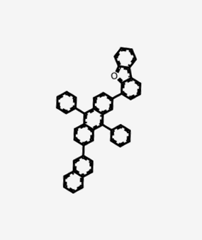 c1ccc(-c2c3ccc(-c4ccc5ccccc5c4)cc3c(-c3ccccc3)c3cc(-c4cccc5c4oc4ccccc45)ccc23)cc1